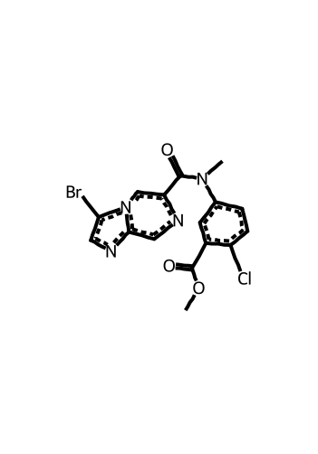 COC(=O)c1cc(N(C)C(=O)c2cn3c(Br)cnc3cn2)ccc1Cl